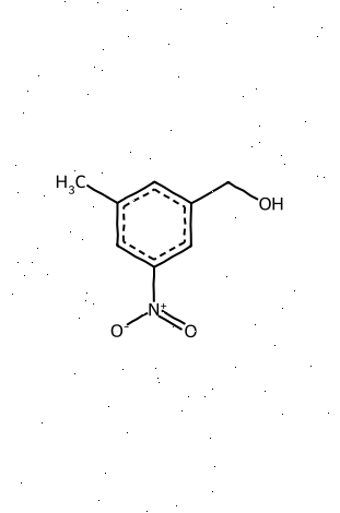 Cc1cc(CO)cc([N+](=O)[O-])c1